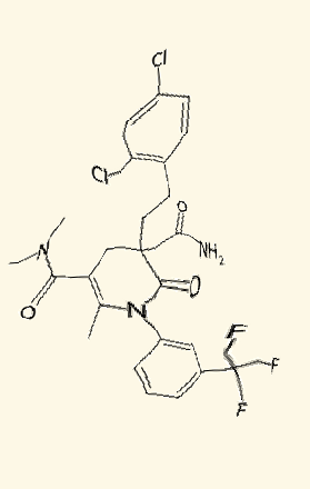 CC1=C(C(=O)N(C)C)CC(CCc2ccc(Cl)cc2Cl)(C(N)=O)C(=O)N1c1cccc(C(F)(F)F)c1